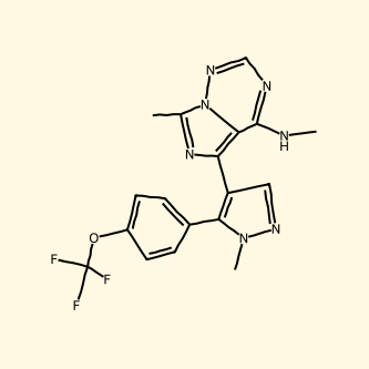 CNc1ncnn2c(C)nc(-c3cnn(C)c3-c3ccc(OC(F)(F)F)cc3)c12